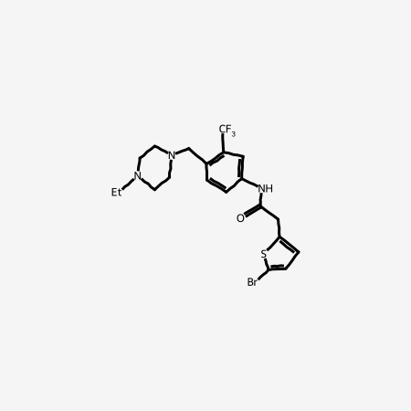 CCN1CCN(Cc2ccc(NC(=O)Cc3ccc(Br)s3)cc2C(F)(F)F)CC1